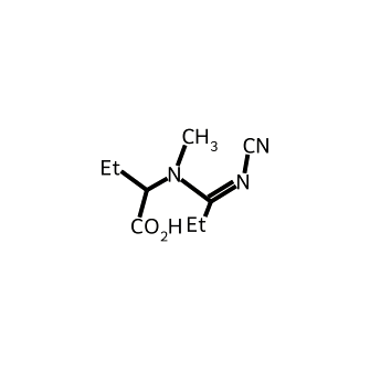 CCC(=NC#N)N(C)C(CC)C(=O)O